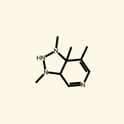 CC1=CN=CC2N(C)NN(C)C12C